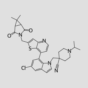 CC(C)N1CCC(C#N)(Cn2ccc3cc(Cl)cc(-c4ccnc5cc(CN6C(=O)C7C(C6=O)C7(C)C)sc45)c32)CC1